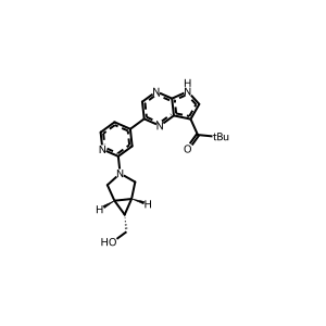 CC(C)(C)C(=O)c1c[nH]c2ncc(-c3ccnc(N4C[C@@H]5[C@H](CO)[C@@H]5C4)c3)nc12